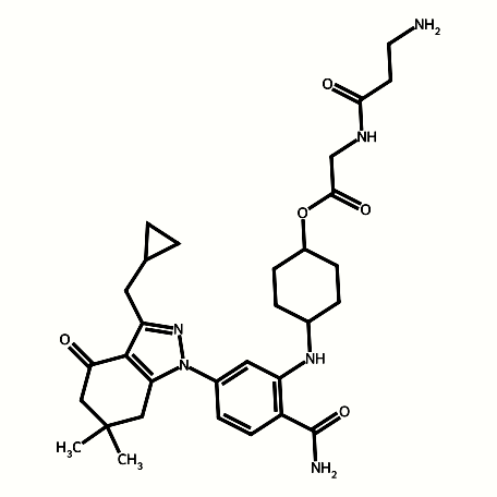 CC1(C)CC(=O)c2c(CC3CC3)nn(-c3ccc(C(N)=O)c(NC4CCC(OC(=O)CNC(=O)CCN)CC4)c3)c2C1